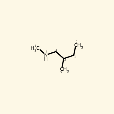 CCC(C)CNC